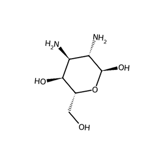 N[C@H]1[C@H](N)[C@@H](O)O[C@H](CO)[C@H]1O